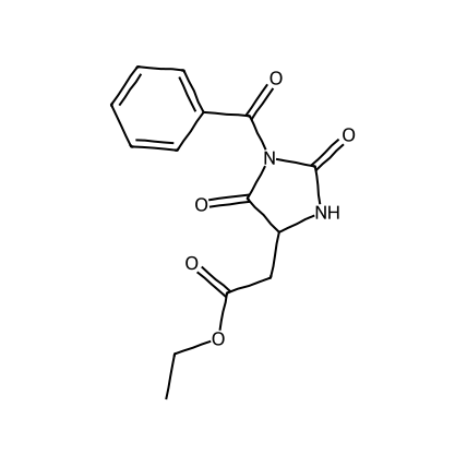 CCOC(=O)CC1NC(=O)N(C(=O)c2ccccc2)C1=O